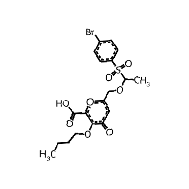 CCCCOc1c(C(=O)O)oc(COC(C)S(=O)(=O)c2ccc(Br)cc2)cc1=O